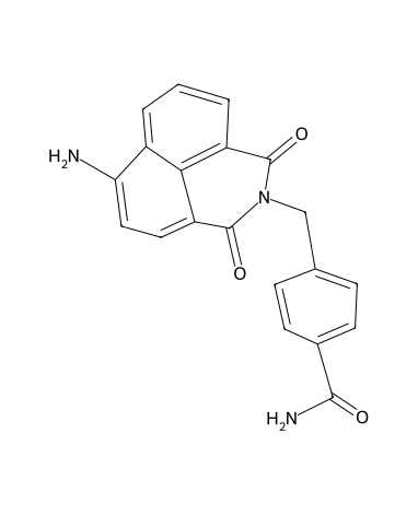 NC(=O)c1ccc(CN2C(=O)c3cccc4c(N)ccc(c34)C2=O)cc1